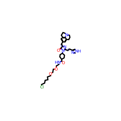 O=C(NCCOCCOCCCCCCCl)C1CCC(N2C(=O)/C(=C/c3cc4c5c(c3)CCCN5CCC4)N=C2/C=C/c2c[nH]cn2)CC1